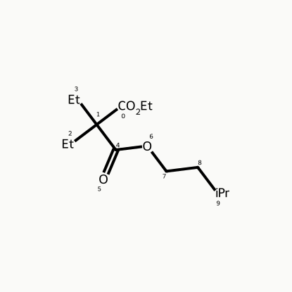 CCOC(=O)C(CC)(CC)C(=O)OCCC(C)C